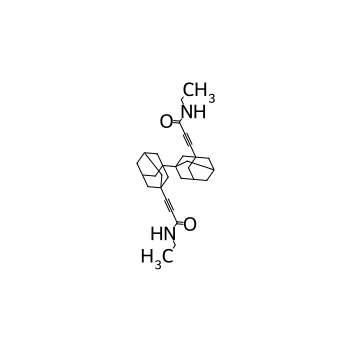 CCNC(=O)C#CC12CC3CC(C1)CC(C14CC5CC(CC(C#CC(=O)NCC)(C5)C1)C4)(C3)C2